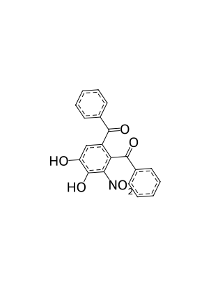 O=C(c1ccccc1)c1cc(O)c(O)c([N+](=O)[O-])c1C(=O)c1ccccc1